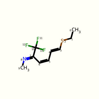 CCS/C=C/C=C\C(=N/C)C(F)(F)F